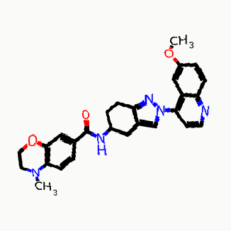 COc1ccc2nccc(-n3cc4c(n3)CCC(NC(=O)c3ccc5c(c3)OCCN5C)C4)c2c1